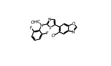 O=CN(c1ncc(-c2cc3ocnc3cc2Cl)s1)c1c(F)cccc1F